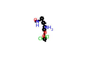 CC(=O)NCCc1ccccc1-c1ccc(C(CN)Cc2ccc(OCCOc3c(Cl)cc(C)cc3Cl)cc2)c(C)c1